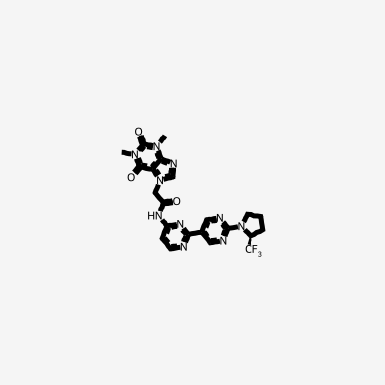 Cn1c(=O)c2c(ncn2CC(=O)Nc2ccnc(-c3cnc(N4CCC[C@H]4C(F)(F)F)nc3)n2)n(C)c1=O